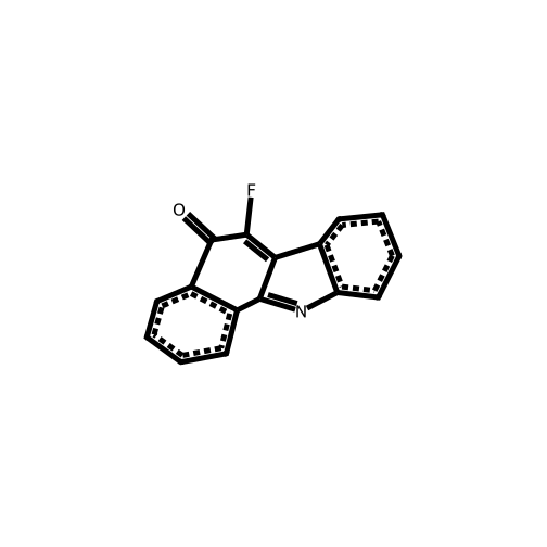 O=C1C(F)=C2C(=Nc3ccccc32)c2ccccc21